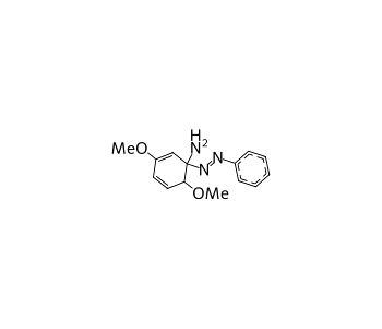 COC1=CC(N)(N=Nc2ccccc2)C(OC)C=C1